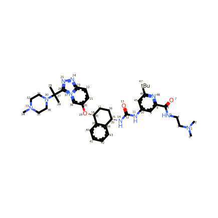 CN(C)CCNC(=O)c1cc(NC(=O)N[C@H]2CC[C@@H](Oc3ccc4nnc(C(C)(C)N5CCN(C)CC5)n4c3)c3ccccc32)cc(C(C)(C)C)n1